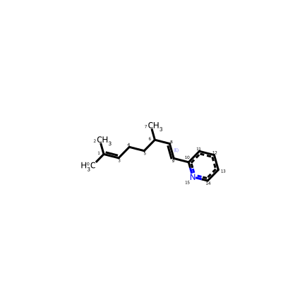 CC(C)=CCCC(C)/C=C/c1ccccn1